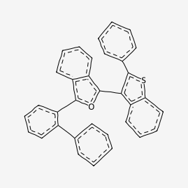 c1ccc(-c2ccccc2-c2oc(-c3c(-c4ccccc4)sc4ccccc34)c3ccccc23)cc1